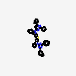 c1ccc(-c2cc(-n3c4ccccc4c4cc5c(cc43)sc3cc4c(cc35)c3ccccc3n4-c3nc(-c4ccccc4)nc(-c4ccccc4)n3)nc(-c3ccccc3)n2)cc1